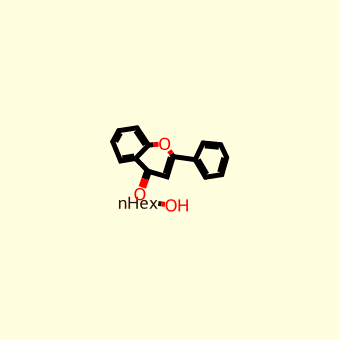 CCCCCCO.O=c1cc(-c2ccccc2)oc2ccccc12